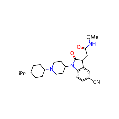 CONC(=O)CC1C(=O)N(C2CCN([C@H]3CC[C@@H](C(C)C)CC3)CC2)c2ccc(C#N)cc21